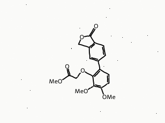 COC(=O)COc1c(-c2ccc3c(c2)COC3=O)ccc(OC)c1OC